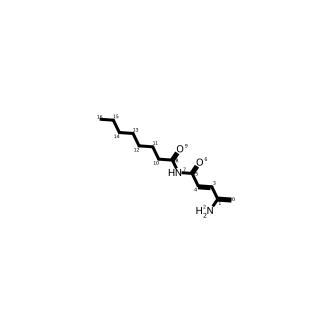 C=C(N)C=CC(=O)NC(=O)CCCCCCC